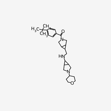 CC(C)(C)c1ccc(C(=O)N2CC3C(CNC4C5CN(C6CCOCC6)CC54)C3C2)cc1